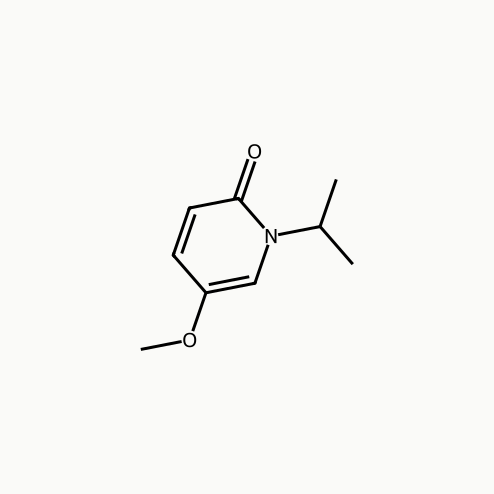 COc1ccc(=O)n(C(C)C)c1